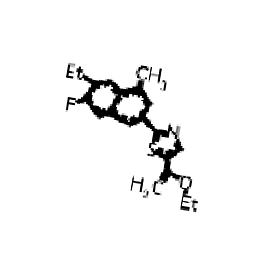 C=C(OCC)c1cnc(-c2cc(C)c3cc(CC)c(F)cc3c2)s1